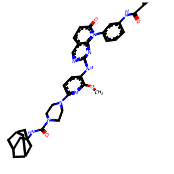 COc1nc(N2CCN(C(=O)NC34CC5CC(CC(C5)C3)C4)CC2)ccc1Nc1ncc2ccc(=O)n(-c3cccc(NC(=O)C4CC4)c3)c2n1